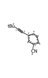 CC(C)(C)C#Cc1cccc(C#N)c1